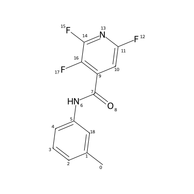 Cc1cccc(NC(=O)c2cc(F)nc(F)c2F)c1